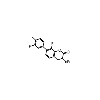 CCCC1Cc2ccc(-c3ccc(C)c(F)c3)c(F)c2OC1=O